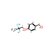 [O]Cc1ccc(OCC(F)(F)C(F)(F)F)cc1